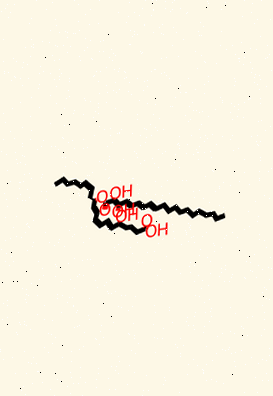 CCCCC/C=C\C[C@H](/C=C/C=C\C=C\[C@@H](O)CCCC(=O)O)OC(=O)/C(O)=C(O)/C=C/C=C/C=C/CCCCCCCCCCC